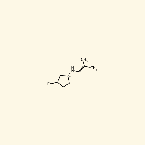 CCC1CC[C@@H](NC=C(C)C)C1